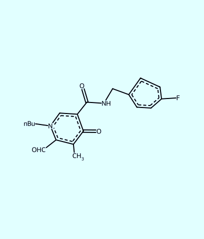 CCCCn1cc(C(=O)NCc2ccc(F)cc2)c(=O)c(C)c1C=O